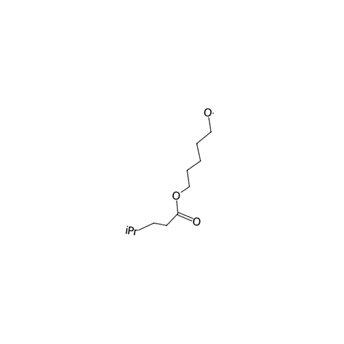 CC(C)CCC(=O)OCCCCC[O]